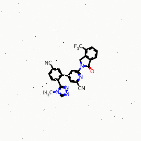 Cn1cnnc1-c1ccc(C#N)cc1-c1cc(C#N)nc(N2Cc3c(cccc3C(F)(F)F)C2=O)c1